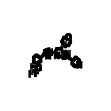 FC(F)(F)Oc1cccc(-c2ccn(-c3cc(N4CCOCC4)n4nc(-c5ccncc5)cc4n3)n2)c1